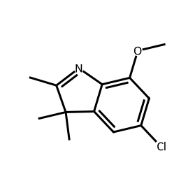 COc1cc(Cl)cc2c1N=C(C)C2(C)C